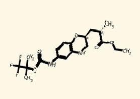 CCOC(=O)[C@@H](C)C[C@H]1CNc2cc(NC(=O)OC(C)(C)C(F)(F)F)ccc2O1